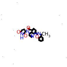 CC(NC(=O)c1ccc2c3c(ccnc13)N(C1CCC(=O)NC1=O)C2=O)c1ccccc1